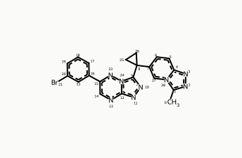 Cc1nnc2ccc(C3(c4nnc5ncc(-c6cccc(Br)c6)nn45)CC3)cn12